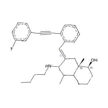 CCCCNC1/C(=C/c2ccccc2C#Cc2cccc(F)c2)C[C@@]2(C)C(CCC[C@@H]2O)C1C